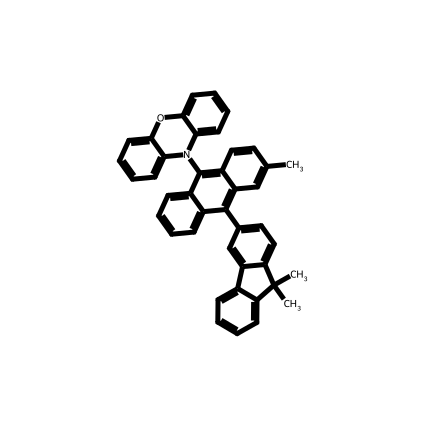 Cc1ccc2c(N3c4ccccc4Oc4ccccc43)c3ccccc3c(-c3ccc4c(c3)-c3ccccc3C4(C)C)c2c1